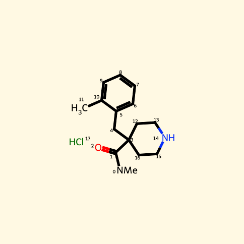 CNC(=O)C1(Cc2ccccc2C)CCNCC1.Cl